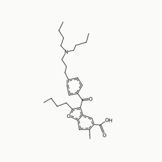 CCCCc1oc2cc(C)c(C(=O)O)cc2c1C(=O)c1ccc(CCCN(CCCC)CCCC)cc1